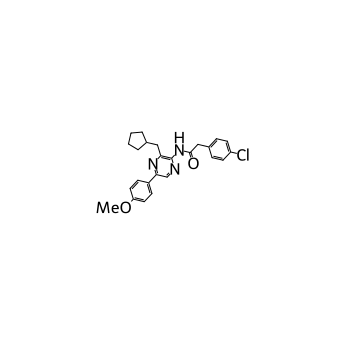 COc1ccc(-c2cnc(NC(=O)Cc3ccc(Cl)cc3)c(CC3CCCC3)n2)cc1